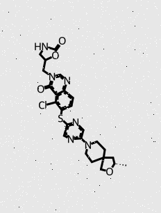 C[C@H]1CC2(CCN(c3cnc(Sc4ccc5ncn(CC6CNC(=O)O6)c(=O)c5c4Cl)cn3)CC2)CO1